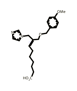 COc1ccc(COC/C(=C\CCCCCC(=O)O)Cn2ccnc2)cc1